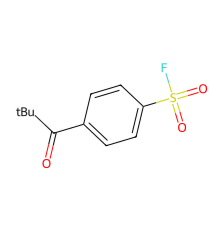 CC(C)(C)C(=O)c1ccc(S(=O)(=O)F)cc1